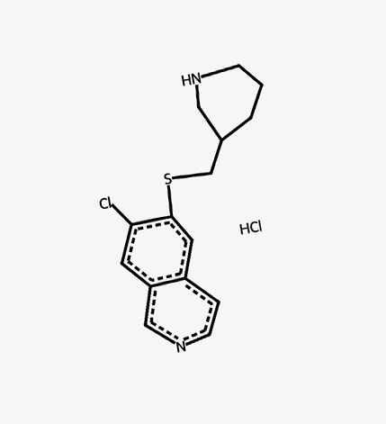 Cl.Clc1cc2cnccc2cc1SCC1CCCNC1